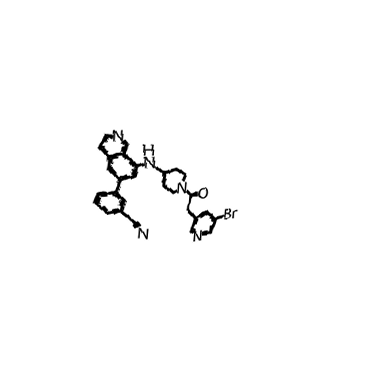 N#Cc1cccc(-c2cc(NC3CCN(C(=O)Cc4cncc(Br)c4)CC3)c3cnccc3c2)c1